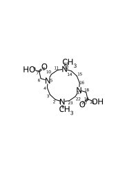 CN1CCCN(CC(=O)O)CCN(C)CCCN(CC(=O)O)CC1